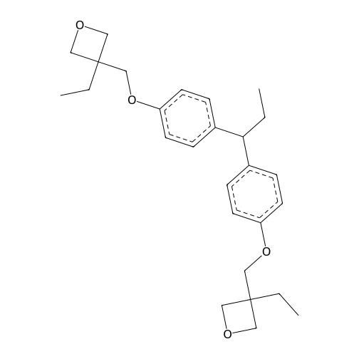 CCC(c1ccc(OCC2(CC)COC2)cc1)c1ccc(OCC2(CC)COC2)cc1